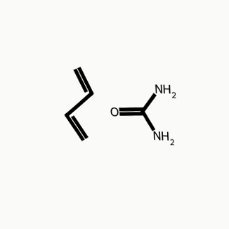 C=CC=C.NC(N)=O